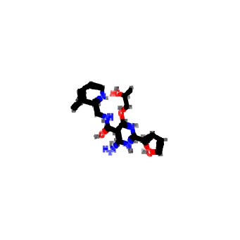 Cc1cccnc1CNC(=O)c1c(N)nc(-c2ccco2)nc1OCC(C)O